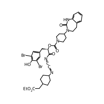 CCOC(=O)CC1CCC(N=C=C=NC(=O)[C@@H](Cc2cc(Br)c(O)c(Br)c2)OC(=O)N2CCC(N3CCc4ccccc4NC3=O)CC2)CC1